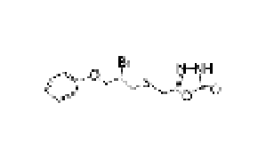 O=c1[nH]nc(CSCC(Br)COc2ccccc2)o1